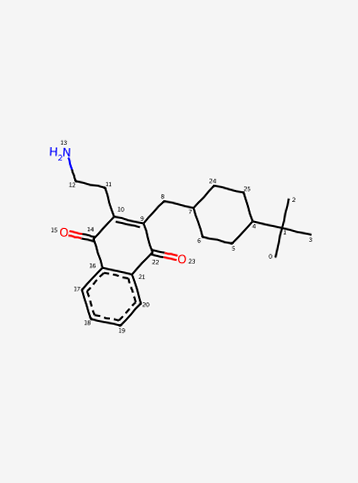 CC(C)(C)C1CCC(CC2=C(CCN)C(=O)c3ccccc3C2=O)CC1